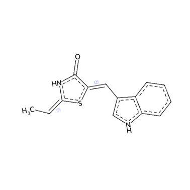 C/C=c1\[nH]c(=O)/c(=C/c2c[nH]c3ccccc23)s1